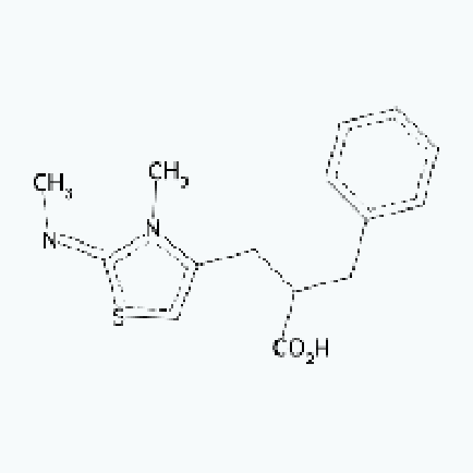 CN=c1scc(CC(Cc2ccccc2)C(=O)O)n1C